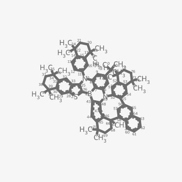 CC(C)(C)c1cc2c3c(c1)N(c1ccc4c(c1)C(C)(C)CCC4(C)C)c1c(sc4cc5c(cc14)C(C)(C)CCC5(C)C)B3c1cc3c4cc1N2c1cc2c(cc1-c1cc(c5ccccc5c1)C4(C)CCC3(C)C)C(C)(C)CCC2(C)C